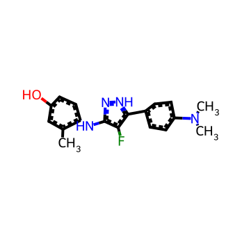 Cc1cc(O)ccc1Nc1n[nH]c(-c2ccc(N(C)C)cc2)c1F